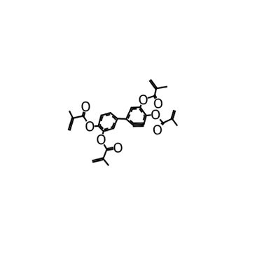 C=C(C)C(=O)Oc1c#cc(-c2ccc(OC(=O)C(=C)C)c(OC(=O)C(=C)C)c2)cc1OC(=O)C(=C)C